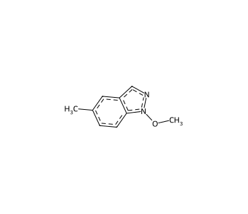 COn1ncc2cc(C)ccc21